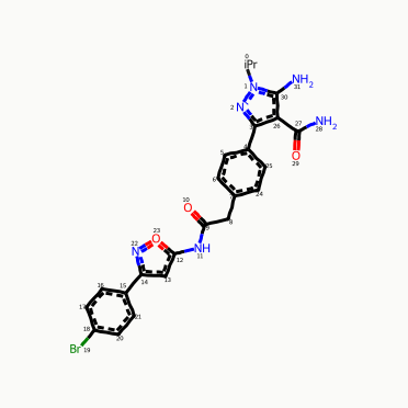 CC(C)n1nc(-c2ccc(CC(=O)Nc3cc(-c4ccc(Br)cc4)no3)cc2)c(C(N)=O)c1N